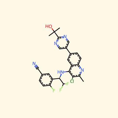 Cc1nc2ccc(-c3cnc(C(C)(C)O)nc3)cc2c(N[C@H](c2cc(C#N)ccc2F)C(F)F)c1Cl